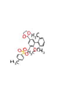 COc1c(COS(=O)(=O)c2ccc(C)cc2)cc(C2OCCO2)cc1-c1c(C)cccc1C